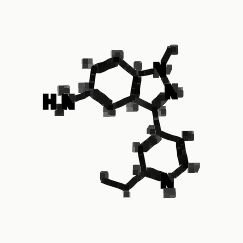 CCc1cc(-c2nn(C)c3ccc(N)cc23)ccn1